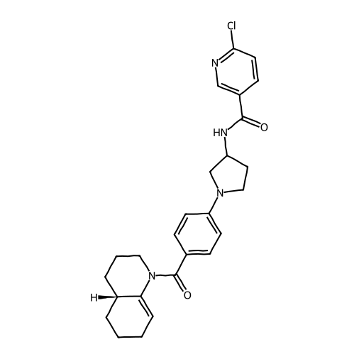 O=C(NC1CCN(c2ccc(C(=O)N3CCC[C@H]4CCCC=C43)cc2)C1)c1ccc(Cl)nc1